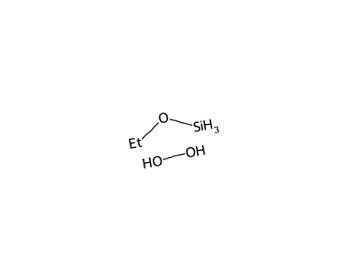 CCO[SiH3].OO